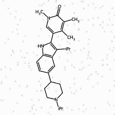 Cc1c(-c2[nH]c3ccc(C4CCN(C(C)C)CC4)cc3c2C(C)C)cn(C)c(=O)c1C